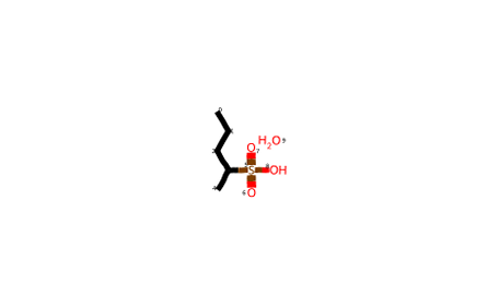 CCCC(C)S(=O)(=O)O.O